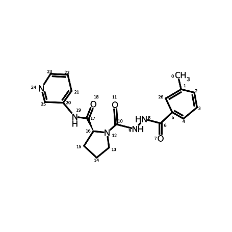 Cc1cccc(C(=O)NNC(=O)N2CCC[C@H]2C(=O)Nc2cccnc2)c1